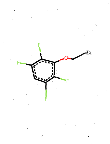 CCC(C)COc1c(F)c(F)cc(F)c1F